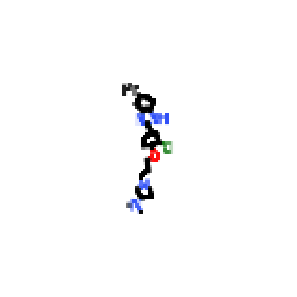 CC(C)c1ccc2[nH]c(-c3ccc(OCCCN4CCC(N(C)C)C4)c(Cl)c3)nc2c1